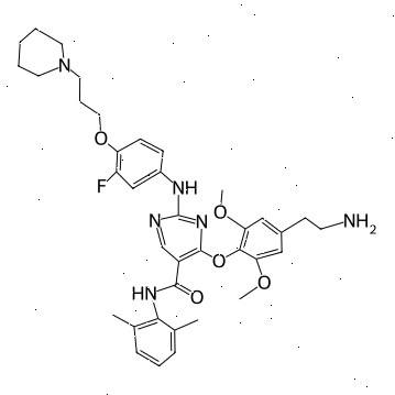 COc1cc(CCN)cc(OC)c1Oc1nc(Nc2ccc(OCCCN3CCCCC3)c(F)c2)ncc1C(=O)Nc1c(C)cccc1C